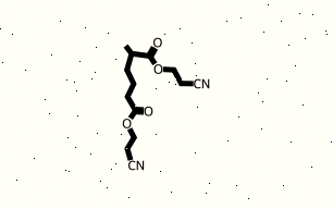 CC(CCCC(=O)OCCC#N)C(=O)OCCC#N